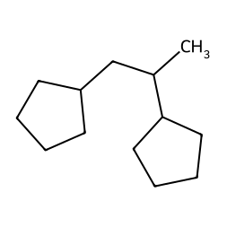 CC(CC1CCCC1)C1CCCC1